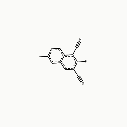 Cc1ccc2c(C#N)c(F)c(C#N)cc2c1